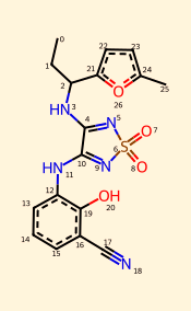 CCC(NC1=NS(=O)(=O)N=C1Nc1cccc(C#N)c1O)c1ccc(C)o1